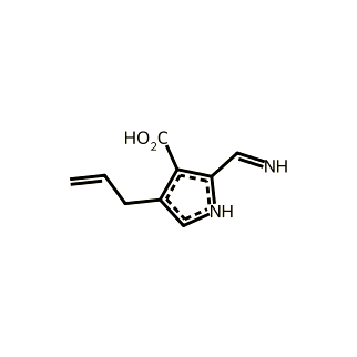 C=CCc1c[nH]c(C=N)c1C(=O)O